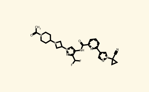 CC(=O)N1CCC(N2CC(n3cc(NC(=O)c4cccc(-c5cnn(C6(C#N)CC6)c5)n4)c(C(F)F)n3)C2)CC1